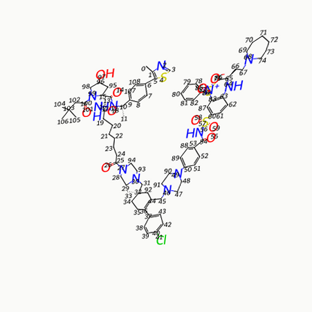 Cc1ncsc1-c1ccc([C@H](C)NC(=O)[C@]2(NC(=O)CCCCCCC(=O)N3CCN(C[C@]4(C)CCC(c5ccc(Cl)cc5)=C(CN5CCN(c6ccc(C(=O)NS(=O)(=O)c7ccc(N[C@H](CCN8CCCCCC8)CSc8ccccc8)c([N+](=O)[O-])c7)cc6)CC5)C4)CC3)CC(O)CN2C(=O)CC(C)(C)C)cc1